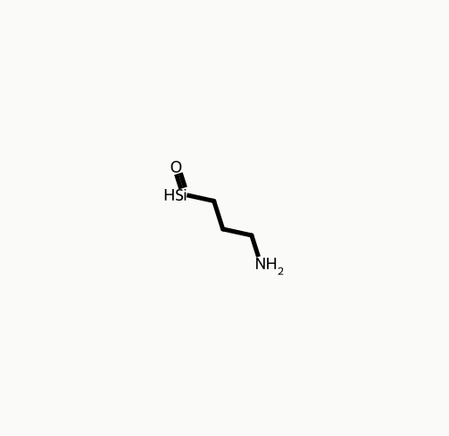 NCCC[SiH]=O